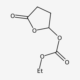 CCOC(=O)OC1CCC(=O)O1